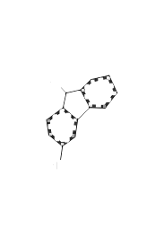 [2H]c1ccc2c(c1)-c1ccccc1C2[2H]